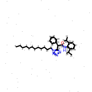 CCCCCCCCCCCCn1nnnc1C(C(=O)Nc1c(C(C)C)cccc1C(C)C)c1ccccc1